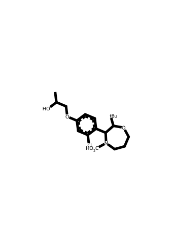 CC(O)COc1ccc(C2C(C(C)(C)C)OCCCN2C(=O)O)c(Cl)c1